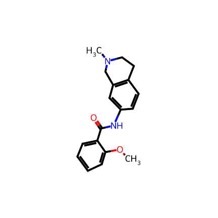 COc1ccccc1C(=O)Nc1ccc2c(c1)CN(C)CC2